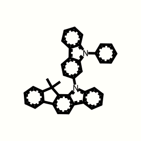 CC1(C)c2ccccc2-c2ccc3c4ccccc4n(-c4ccc5c6ccccc6n(-c6ccccc6)c5c4)c3c21